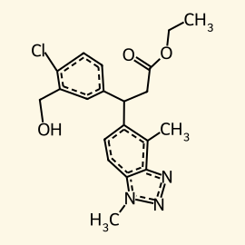 CCOC(=O)CC(c1ccc(Cl)c(CO)c1)c1ccc2c(nnn2C)c1C